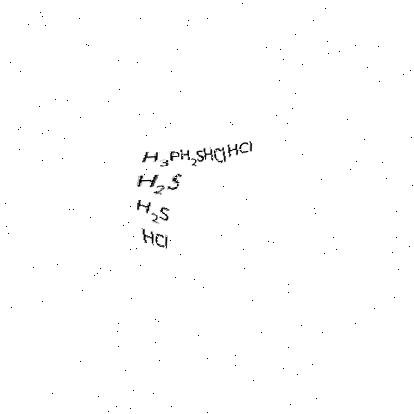 Cl.Cl.Cl.P.S.S.S